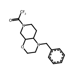 O=C(N1CCC2C(C1)OCCN2Cc1ccccc1)C(F)(F)F